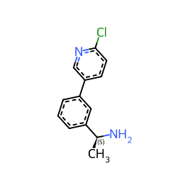 C[C@H](N)c1cccc(-c2ccc(Cl)nc2)c1